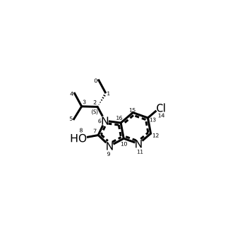 CC[C@@H](C(C)C)n1c(O)nc2ncc(Cl)cc21